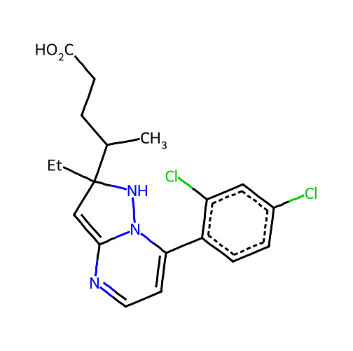 CCC1(C(C)CCC(=O)O)C=C2N=CC=C(c3ccc(Cl)cc3Cl)N2N1